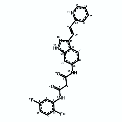 O=C(CC(=O)Nc1cc(F)ccc1F)Nc1ccc2c(/C=C/c3ccccn3)n[nH]c2c1